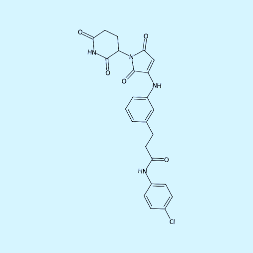 O=C1CCC(N2C(=O)C=C(Nc3cccc(CCC(=O)Nc4ccc(Cl)cc4)c3)C2=O)C(=O)N1